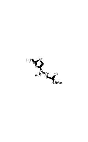 COC(=O)CON(C(C)=O)c1csc(N)n1